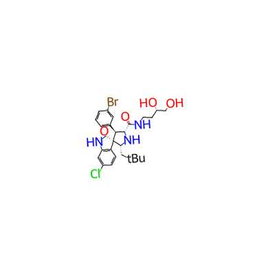 CC(C)(C)C[C@H]1N[C@@H](C(=O)NCC[C@H](O)CO)[C@H](c2cccc(Br)c2)[C@@]12C(=O)Nc1cc(Cl)ccc12